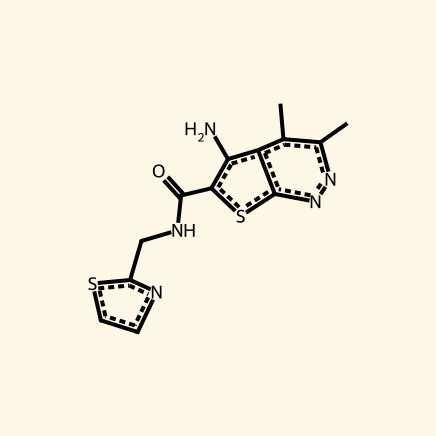 Cc1nnc2sc(C(=O)NCc3nccs3)c(N)c2c1C